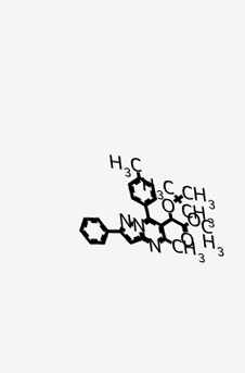 COC(=O)C(OC(C)(C)C)c1c(C)nc2cc(-c3ccccc3)nn2c1-c1ccc(C)cc1